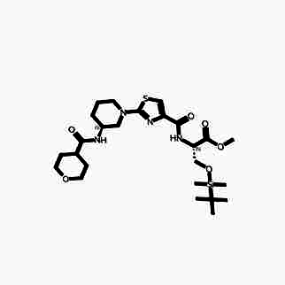 COC(=O)[C@H](CO[Si](C)(C)C(C)(C)C)NC(=O)c1csc(N2CCC[C@H](NC(=O)C3CCOCC3)C2)n1